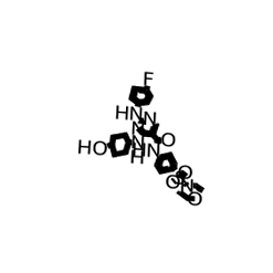 O=C(Nc1ccc(S(=O)(=O)N2CCOCC2)cc1)c1cnc(Nc2ccc(F)cc2)nc1NC1CCC(O)CC1